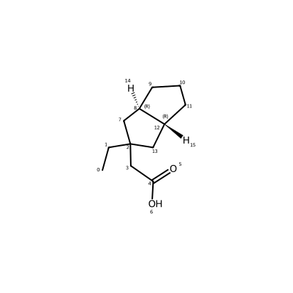 CCC1(CC(=O)O)C[C@H]2CCC[C@@H]2C1